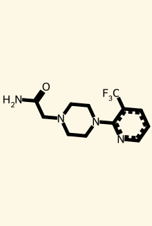 NC(=O)CN1CCN(c2ncccc2C(F)(F)F)CC1